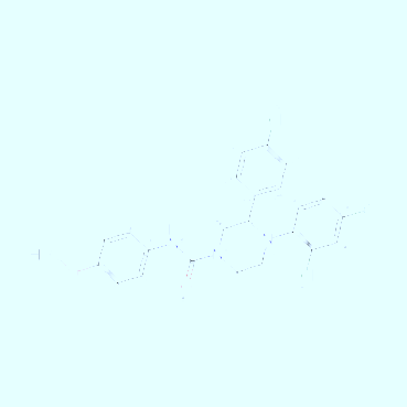 COc1ccc(NC(=O)N2CCN(c3ccc(Cl)cc3Cl)C(c3ccc(Cl)cc3)C2)cc1